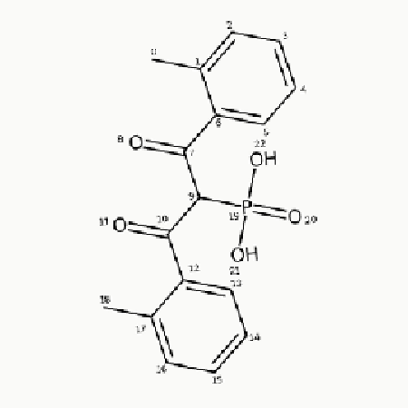 Cc1ccccc1C(=O)C(C(=O)c1ccccc1C)P(=O)(O)O